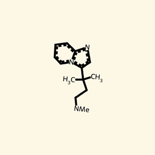 CNCCC(C)(C)c1cnc2ccccn12